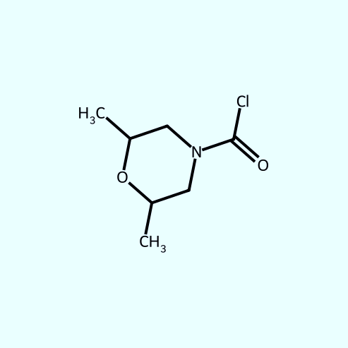 CC1CN(C(=O)Cl)CC(C)O1